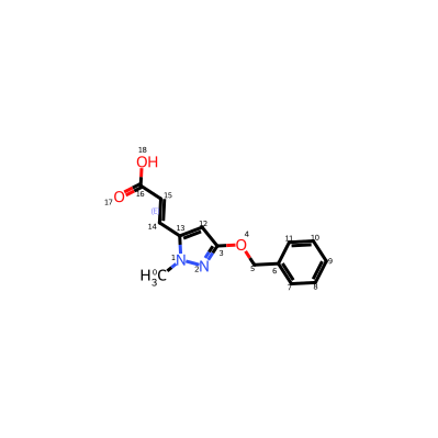 Cn1nc(OCc2ccccc2)cc1/C=C/C(=O)O